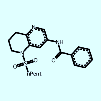 CCCCCS(=O)(=O)N1CCCc2ncc(NC(=O)c3ccccc3)cc21